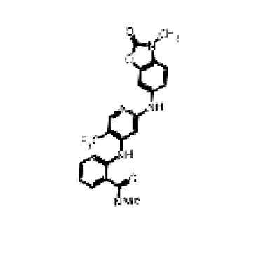 CNC(=O)c1ccccc1Nc1cc(Nc2ccc3c(c2)oc(=O)n3C)ncc1C(F)(F)F